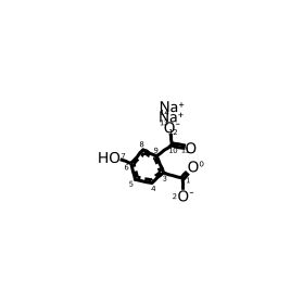 O=C([O-])c1ccc(O)cc1C(=O)[O-].[Na+].[Na+]